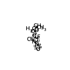 CC(C)(C)OC(=O)COc1c(F)cc(N2CCOCC2)nc1Cl